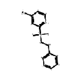 CC(C)(C)c1ccnc([Si](C)(C)CCc2ccccc2)c1